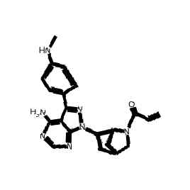 C=CC(=O)N1CC2CC1C(n1nc(-c3ccc(NC)cc3)c3c(N)ncnc31)C2